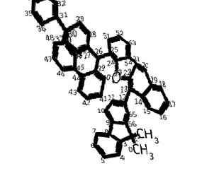 CC1(C)c2ccccc2-c2ccc(-c3c4ccccc4cc4c3oc3c(C(c5ccc(-c6ccccc6)cc5)c5ccccc5-c5ccccc5)cccc34)cc21